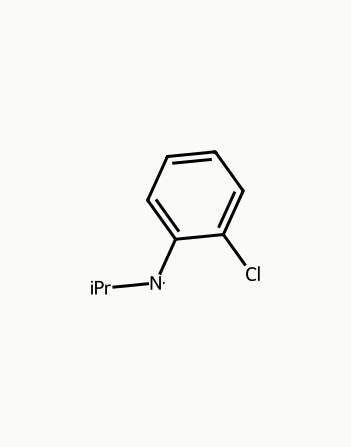 CC(C)[N]c1ccccc1Cl